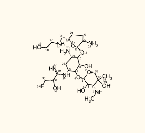 CN[C@@H]1C(O)[C@@H](OC2C(O)C(O[C@H]3O[C@H](CNCCO)CCC3N)[C@@H](N)C[C@H]2NC(=N)C(O)CF)OCC1(C)O